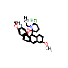 CCN1CCCCC1(Oc1ccccc1)c1c(-c2ccc(OC)cc2)ccc2cc(OC)ccc12.Cl